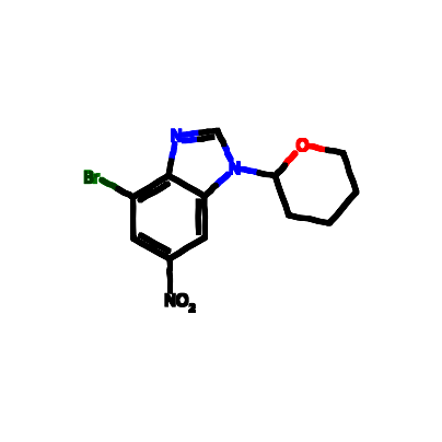 O=[N+]([O-])c1cc(Br)c2ncn(C3CCCCO3)c2c1